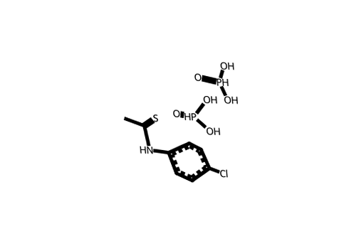 CC(=S)Nc1ccc(Cl)cc1.O=[PH](O)O.O=[PH](O)O